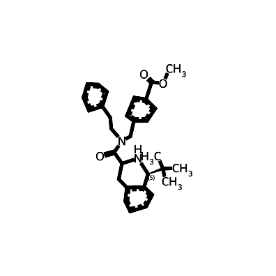 COC(=O)c1ccc(CN(CCc2ccccc2)C(=O)C2Cc3ccccc3[C@H](C(C)(C)C)N2)cc1